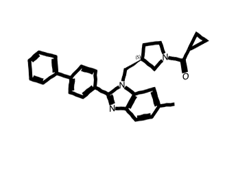 Cc1ccc2nc(-c3ccc(-c4ccccc4)cc3)n(C[C@H]3CCN(C(=O)C4CC4)C3)c2c1